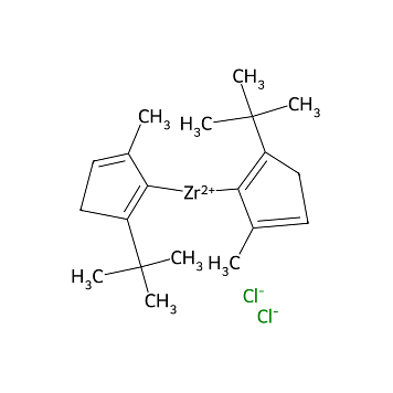 CC1=CCC(C(C)(C)C)=[C]1[Zr+2][C]1=C(C(C)(C)C)CC=C1C.[Cl-].[Cl-]